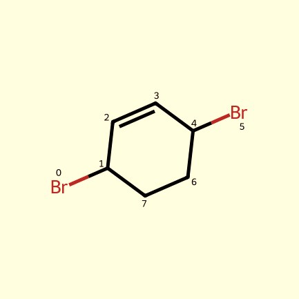 BrC1C=CC(Br)CC1